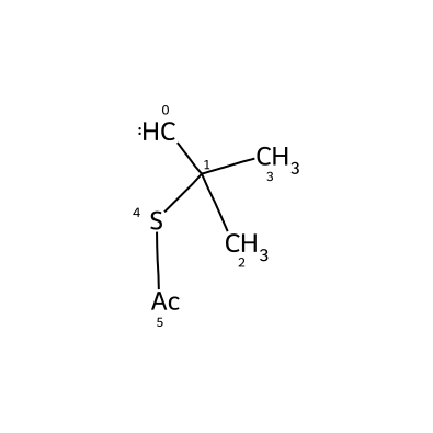 [CH]C(C)(C)SC(C)=O